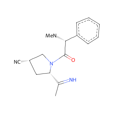 CN[C@@H](C(=O)N1C[C@@H](C#N)C[C@H]1C(C)=N)c1ccccc1